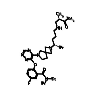 CC(C)[C@@H](CCCNC[C@H](C)C(N)=O)N1CC2(CCN(c3ncnnc3Oc3ccc(F)cc3C(=O)N(C(C)C)C(C)C)C2)C1